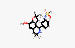 CCOc1cc2c(c3c1OC(C)(C)C3)C(c1cccc(NS(C)(=O)=O)c1)=NC(C)(C)C2